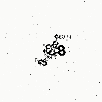 CN(c1nc(OC[C@@]23CCCN2C[C@H](F)C3)nc2c(F)c(-c3cccc4ccc(F)c(Cl)c34)ncc12)[C@H]1CN(C(=O)/C=C/[C@H]2CCN2C(=O)O)C[C@@H]1F